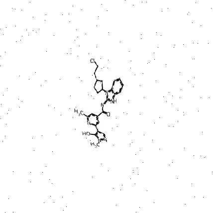 Cc1cc(C(=O)/N=c2\[nH]c3ccccc3n2[C@H]2CC[C@@H](CCCl)C2)cc(-c2cnn(C)c2O)n1